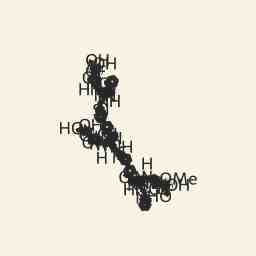 CO[C@H]1C(n2ccc(Nc3nc(NCc4nc5ccccc5s4)c4ncn([C@@H]5CCC(c6ccc7sc(CNc8nc(Nc9ccn(C%10O[C@H](CO)[C@@H](O)[C@H]%10C)c(=O)n9)nc9c8ncn9[C@@H]8CCC(c9ccc%10sc(CNc%11nc(Nc%12ccn(C%13O[C@H](CO)[C@@H](O)[C@H]%13F)c(=O)n%12)nc%12c%11ncn%12[C@@H]%11CCCCC%11=O)nc%10c9)CC8=O)nc7c6)CC5=O)c4n3)nc2=O)O[C@H](CO)[C@H]1O